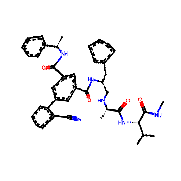 CNC(=O)[C@@H](NC(=O)[C@H](C)NC[C@H](Cc1ccccc1)NC(=O)c1cc(C(=O)N[C@H](C)c2ccccc2)cc(-c2ccccc2C#N)c1)C(C)C